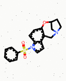 O=S(=O)(c1ccccc1)n1ccc2c3c(ccc21)OC1CCN(C3)C1